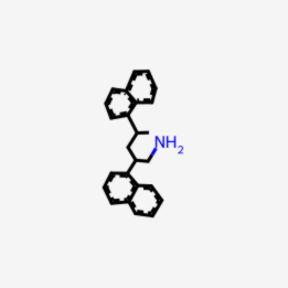 CC(CC(CN)c1cccc2ccccc12)c1cccc2ccccc12